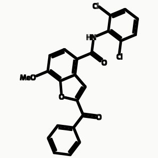 COc1ccc(C(=O)Nc2c(Cl)cccc2Cl)c2cc(C(=O)c3ccccc3)oc12